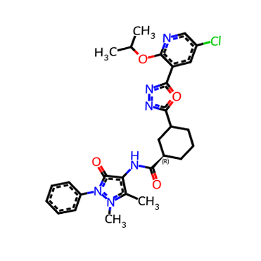 Cc1c(NC(=O)[C@@H]2CCCC(c3nnc(-c4cc(Cl)cnc4OC(C)C)o3)C2)c(=O)n(-c2ccccc2)n1C